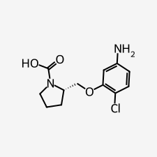 Nc1ccc(Cl)c(OC[C@@H]2CCCN2C(=O)O)c1